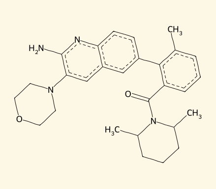 Cc1cccc(C(=O)N2C(C)CCCC2C)c1-c1ccc2nc(N)c(N3CCOCC3)cc2c1